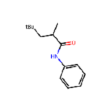 CC(CC(C)(C)C)C(=O)Nc1ccccc1